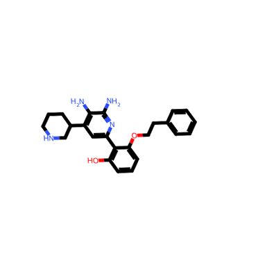 Nc1nc(-c2c(O)cccc2OCCc2ccccc2)cc(C2CCCNC2)c1N